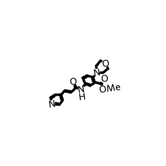 COC(=O)c1cc(NC(=O)C=Cc2ccncc2)ccc1N1CCOCC1